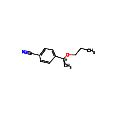 CCCO[C@@H](C)c1ccc(C#N)cc1